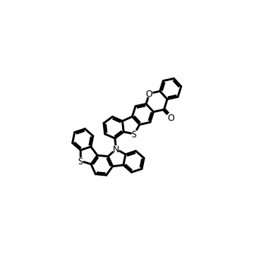 O=c1c2ccccc2oc2cc3c(cc12)sc1c(-n2c4ccccc4c4ccc5sc6ccccc6c5c42)cccc13